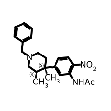 CC(=O)Nc1cc([C@@]2(C)CCN(Cc3ccccc3)C[C@@H]2C)ccc1[N+](=O)[O-]